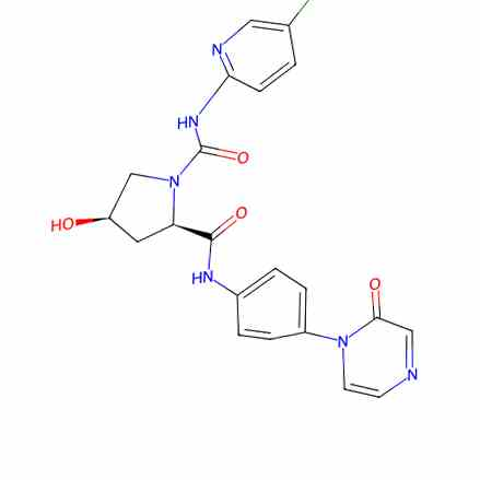 O=C(Nc1ccc(-n2ccncc2=O)cc1)[C@H]1C[C@@H](O)CN1C(=O)Nc1ccc(Cl)cn1